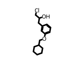 OC(CCl)Cc1cccc(OCC2CCCCC2)c1